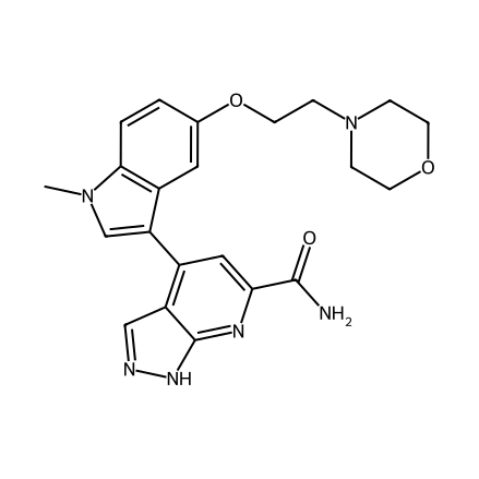 Cn1cc(-c2cc(C(N)=O)nc3[nH]ncc23)c2cc(OCCN3CCOCC3)ccc21